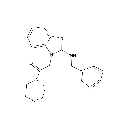 O=C(Cn1c(NCc2ccccc2)nc2ccccc21)N1CCOCC1